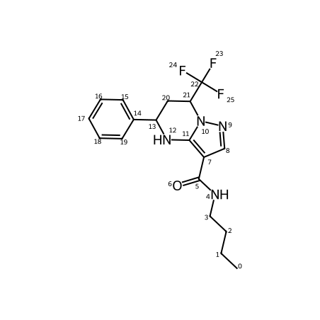 CCCCNC(=O)c1cnn2c1NC(c1ccccc1)CC2C(F)(F)F